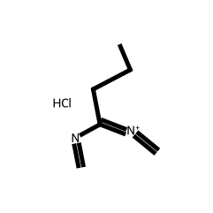 C=NC(CCC)=[N+]=C.Cl